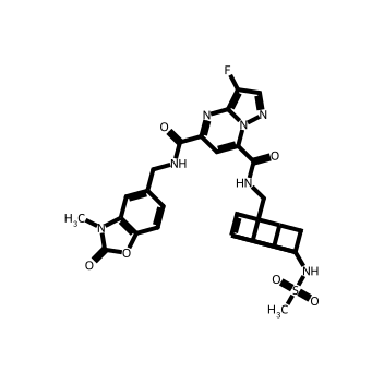 Cn1c(=O)oc2ccc(CNC(=O)c3cc(C(=O)NCC45C=C6C4C4C5CC64NS(C)(=O)=O)n4ncc(F)c4n3)cc21